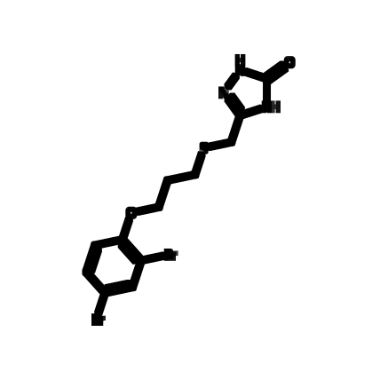 O=c1[nH]nc(CSCCCOc2ccc(Br)cc2Br)[nH]1